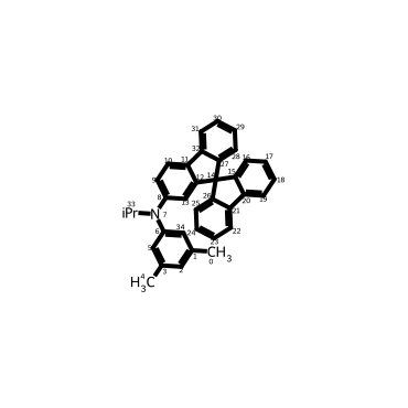 Cc1cc(C)cc(N(c2ccc3c(c2)C2(c4ccccc4-c4ccccc42)c2ccccc2-3)C(C)C)c1